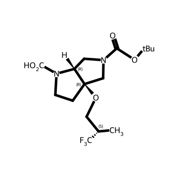 C[C@@H](CO[C@@]12CCN(C(=O)O)[C@@H]1CN(C(=O)OC(C)(C)C)C2)C(F)(F)F